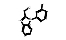 Cc1cccc(-n2c(CCl)nc3ccccc32)c1